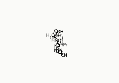 CC(C)Nc1cc(-n2ncc3cc(C#N)cnc32)ncc1C(=O)NC[C@@H](F)C(C)(C)OP(=O)(O)O